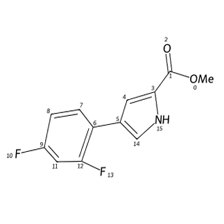 COC(=O)c1cc(-c2ccc(F)cc2F)c[nH]1